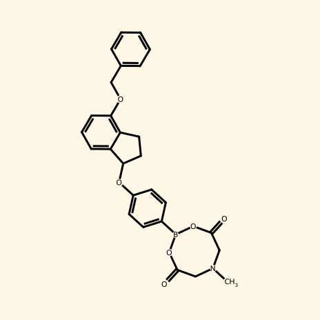 CN1CC(=O)OB(c2ccc(OC3CCc4c(OCc5ccccc5)cccc43)cc2)OC(=O)C1